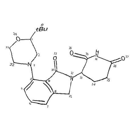 CC(C)(C)C1CN(c2cccc3c2C(=O)N(C2CCC(=O)NC2=O)C3)CCO1